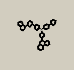 c1ccc(-c2ccc(N(c3ccc(-c4cccc(-c5cccc6ccccc56)c4)cc3)c3ccc(-c4cc5ccccc5c5ccccc45)cc3)cc2)cc1